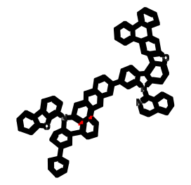 c1ccc(-c2ccc(N(c3ccc4cc5cc(-c6ccc7c8c9c(ccc8n(-c8nccc%10ccccc8%10)c7c6)oc6cc7c8ccccc8c8ccccc8c7cc69)ccc5cc4c3)c3cccc4c3oc3ccccc34)c(-c3ccccc3)c2)cc1